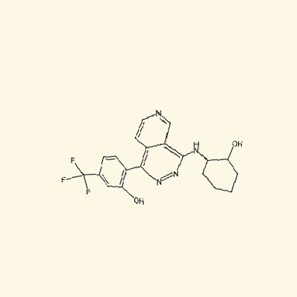 Oc1cc(C(F)(F)F)ccc1-c1nnc(NC2CCCCC2O)c2cnccc12